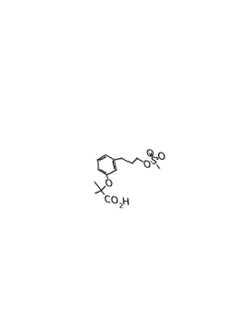 CC(C)(Oc1cccc(CCCOS(C)(=O)=O)c1)C(=O)O